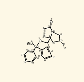 CC(C)(C)[Si](OC[C@@]12C=CC(=O)N1C[C@H](F)C2)(c1ccccc1)c1ccccc1